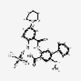 COc1cc(C(=O)O)c(NC(=O)c2cc(N3CCCCC3)ccc2O)cc1-c1ccccc1.CS(=O)(=O)O